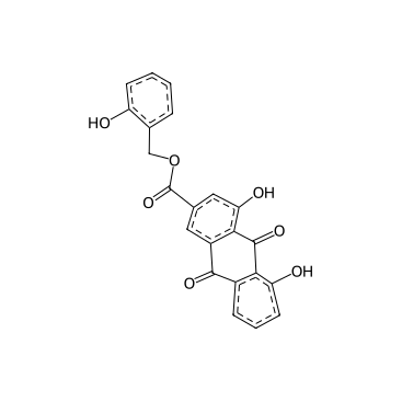 O=C(OCc1ccccc1O)c1cc(O)c2c(c1)C(=O)c1cccc(O)c1C2=O